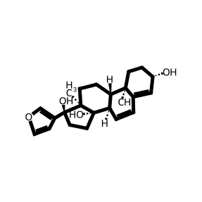 C[C@]12CC[C@H]3[C@@H](C=CC4=C[C@@H](O)CC[C@@]43C)[C@@]1(O)CC[C@]2(O)c1ccoc1